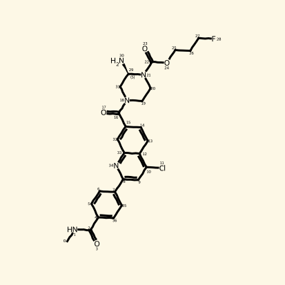 CNC(=O)c1ccc(-c2cc(Cl)c3ccc(C(=O)N4CCN(C(=O)OCCCF)[C@H](N)C4)cc3n2)cc1